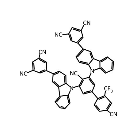 N#Cc1cc(C#N)cc(-c2ccc3c(c2)c2ccccc2n3-c2cc(-c3ccc(C#N)cc3C(F)(F)F)cc(-n3c4ccccc4c4cc(-c5cc(C#N)cc(C#N)c5)ccc43)c2C#N)c1